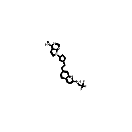 CNc1ncnc2c1ccn2C1CCC(CCc2ccc3ccc(NCC(F)(F)F)nc3c2)C1